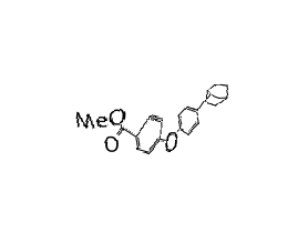 COC(=O)c1ccc(Oc2ccc(C3CC4CCC3CC4)cc2)cc1